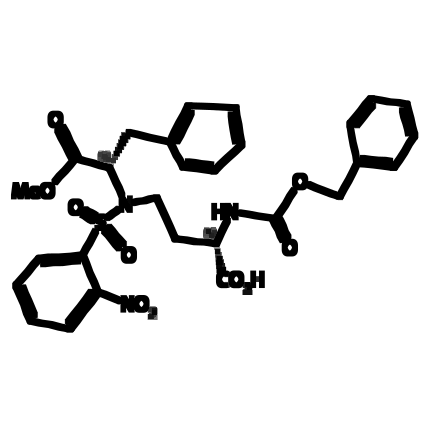 COC(=O)[C@H](Cc1ccccc1)N(CC[C@H](NC(=O)OCc1ccccc1)C(=O)O)S(=O)(=O)c1ccccc1[N+](=O)[O-]